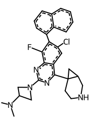 CN(C)C1CN(c2nc(C34CCNCC3C4)c3cc(Cl)c(-c4cccc5ccccc45)c(F)c3n2)C1